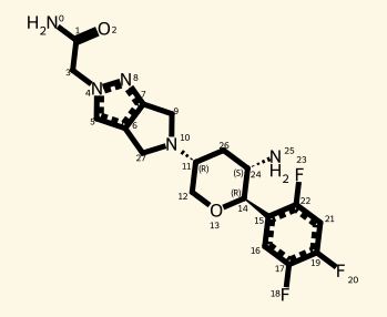 NC(=O)Cn1cc2c(n1)CN([C@H]1CO[C@H](c3cc(F)c(F)cc3F)[C@@H](N)C1)C2